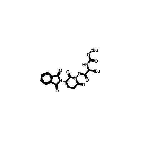 CCC(C)C(NC(=O)OC(C)(C)C)C(=O)ON1C(=O)CC[C@H](N2C(=O)c3ccccc3C2=O)C1=O